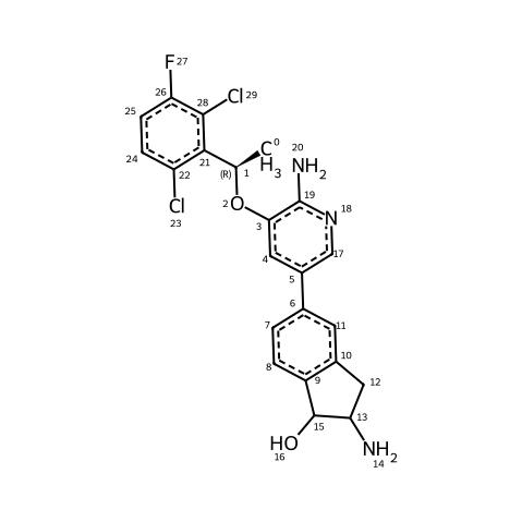 C[C@@H](Oc1cc(-c2ccc3c(c2)CC(N)C3O)cnc1N)c1c(Cl)ccc(F)c1Cl